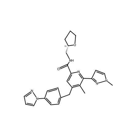 Cc1c(Cc2ccc(-n3cccn3)cc2)cc(C(=O)NC[C@@H]2CCCO2)nc1-c1ccn(C)n1